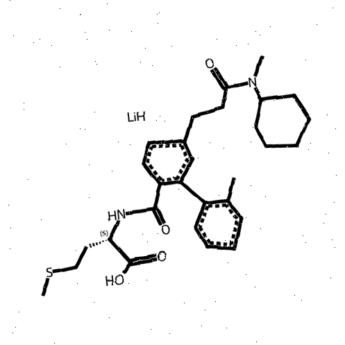 CSCC[C@H](NC(=O)c1ccc(CCC(=O)N(C)C2CCCCC2)cc1-c1ccccc1C)C(=O)O.[LiH]